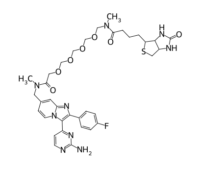 CN(COCOCOCOCC(=O)N(C)Cc1ccn2c(-c3ccnc(N)n3)c(-c3ccc(F)cc3)nc2c1)C(=O)CCCC1SCC2NC(=O)NC21